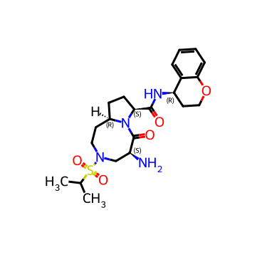 CC(C)S(=O)(=O)N1CC[C@H]2CC[C@@H](C(=O)N[C@@H]3CCOc4ccccc43)N2C(=O)[C@@H](N)C1